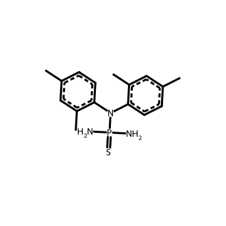 Cc1ccc(N(c2ccc(C)cc2C)P(N)(N)=S)c(C)c1